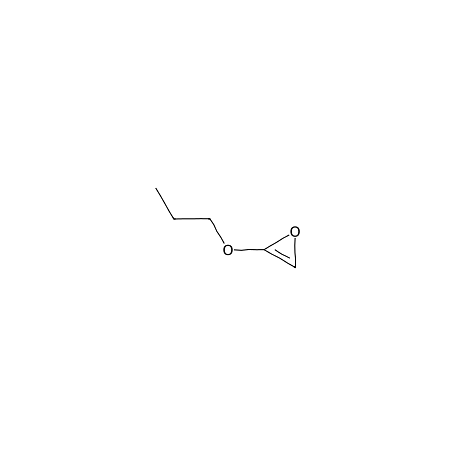 CCCOC1=CO1